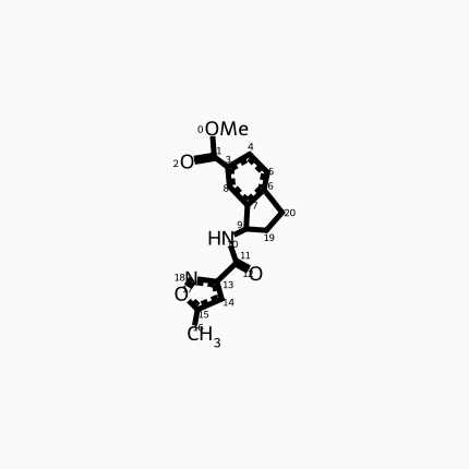 COC(=O)c1ccc2c(c1)C(NC(=O)c1cc(C)on1)CC2